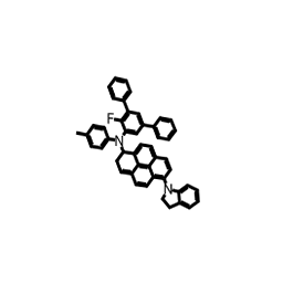 Cc1ccc(N(c2cc(-c3ccccc3)cc(-c3ccccc3)c2F)C2CC=c3ccc4c(N5CCc6ccccc65)ccc5ccc2c3c54)cc1